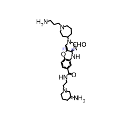 CN(/C=C1/Oc2ccc(C(=O)NCCN3CCC[C@H](N)C3)cc2N/C1=N/C=O)C1CCCN(CCCN)CC1